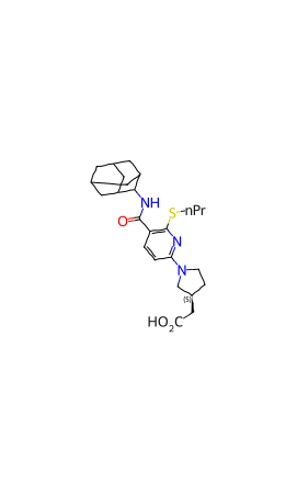 CCCSc1nc(N2CC[C@@H](CC(=O)O)C2)ccc1C(=O)NC1C2CC3CC(C2)CC1C3